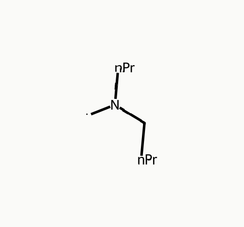 [CH2]CCN([CH2])CCCC